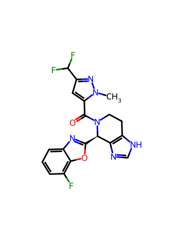 Cn1nc(C(F)F)cc1C(=O)N1CCc2[nH]cnc2[C@H]1c1nc2cccc(F)c2o1